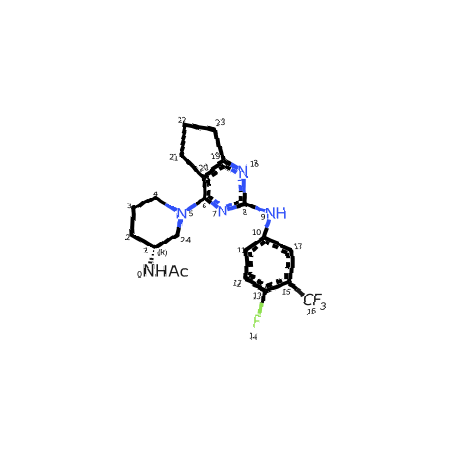 CC(=O)N[C@@H]1CCCN(c2nc(Nc3ccc(F)c(C(F)(F)F)c3)nc3c2CCC3)C1